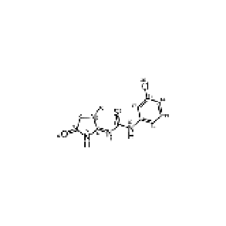 CN1CC(=O)NC1=NC(=S)Nc1cccc(Cl)c1